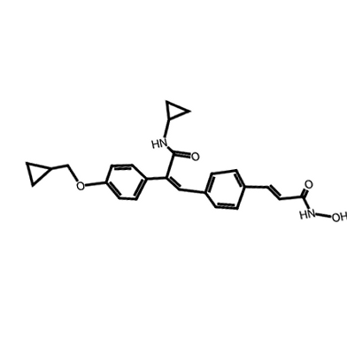 O=C(/C=C/c1ccc(C=C(C(=O)NC2CC2)c2ccc(OCC3CC3)cc2)cc1)NO